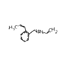 C=CNCCc1ccccc1/C=C\C